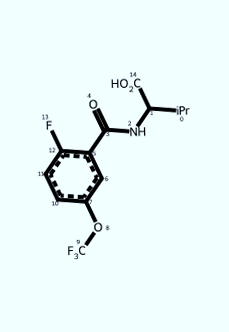 CC(C)C(NC(=O)c1cc(OC(F)(F)F)ccc1F)C(=O)O